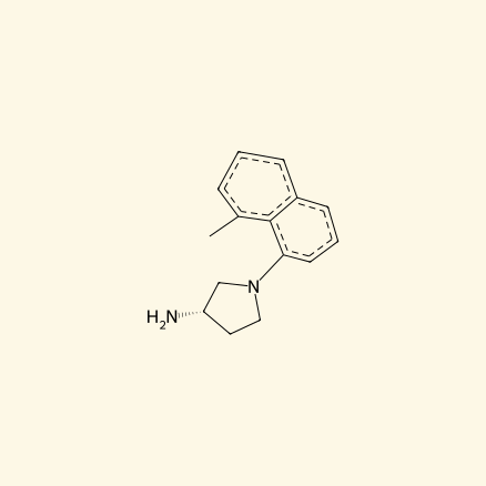 Cc1cccc2cccc(N3CC[C@H](N)C3)c12